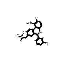 COc1c(F)ccc2c1-c1ccc(CS(N)(=O)=O)cc1C(c1cccc(Cl)c1)O2